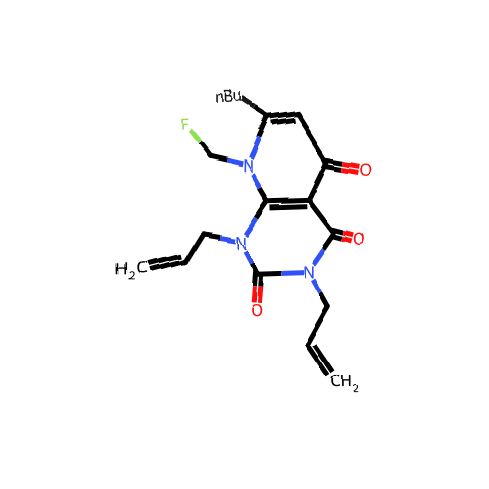 C=CCn1c(=O)c2c(=O)cc(CCCC)n(CF)c2n(CC=C)c1=O